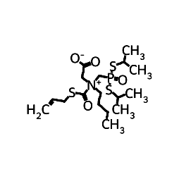 C=CCSC(=O)[N+](CCCC)(CC(=O)[O-])CP(=O)(SC(C)C)SC(C)C